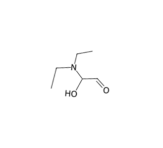 CCN(CC)C(O)C=O